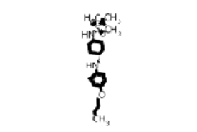 CCCCOc1ccc(NC[C@H]2CC[C@H](NS(=O)(=O)C(C)(C)C)CC2)cc1